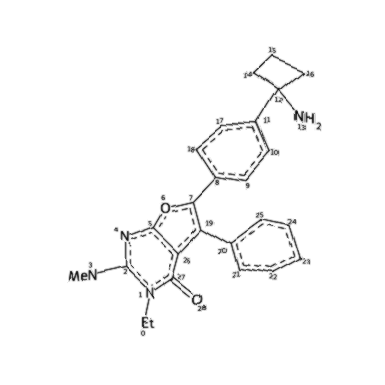 CCn1c(NC)nc2oc(-c3ccc(C4(N)CCC4)cc3)c(-c3ccccc3)c2c1=O